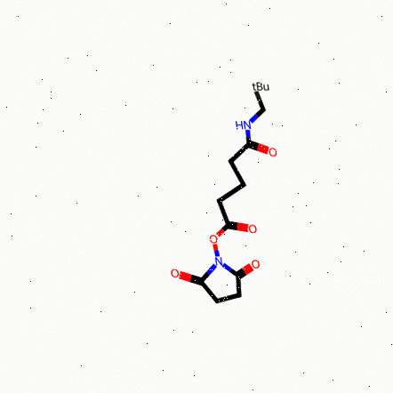 CC(C)(C)CNC(=O)CCCC(=O)ON1C(=O)CCC1=O